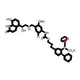 COc1cc(NC(=O)OCCCc2ccc(-c3ccccc3)c(N(C(=O)O)C3CN4CCC3CC4)c2)c(Cl)cc1CNC[C@H](O)c1ccc(O)c2[nH]c(=O)ccc12